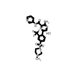 CN1CCN(S(=O)(=O)c2ccc(-c3cnc(N)c(C(=O)Nc4cccnc4)n3)c(C(F)(F)F)c2)CC1.Cl